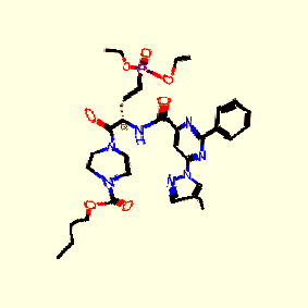 CCCCOC(=O)N1CCN(C(=O)[C@H](CCP(=O)(OCC)OCC)NC(=O)c2cc(-n3cc(C)cn3)nc(-c3ccccc3)n2)CC1